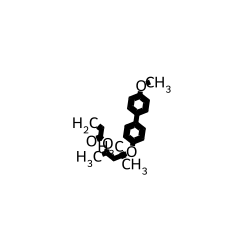 C=CC(=O)OC(C)CC(C)(C)Oc1ccc(-c2ccc(OC)cc2)cc1